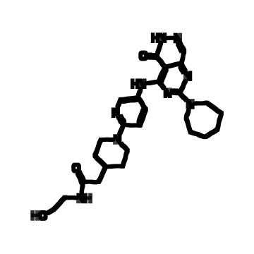 O=C(CC1CCN(c2ccc(Nc3nc(N4CCCCCC4)nc4cn[nH]c(=O)c34)cn2)CC1)NCCO